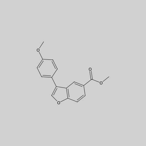 COC(=O)c1ccc2occ(-c3ccc(OC)cc3)c2c1